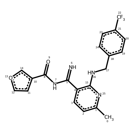 Cc1ccc(C(=N)NC(=O)c2ccoc2)c(NCc2ccc(C(F)(F)F)cc2)n1